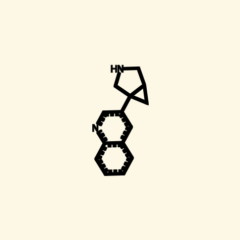 c1ccc2ncc(C34CNCC3C4)cc2c1